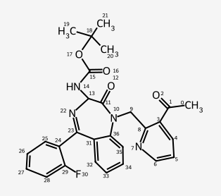 CC(=O)c1cccnc1CN1C(=O)C(NC(=O)OC(C)(C)C)N=C(c2ccccc2F)c2ccccc21